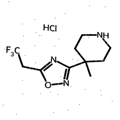 CC1(c2noc(CC(F)(F)F)n2)CCNCC1.Cl